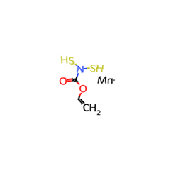 C=COC(=O)N(S)S.[Mn]